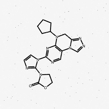 O=C1OCCN1c1nccn1-c1ncc2c(n1)N(C1CCCC1)Cc1nncn1-2